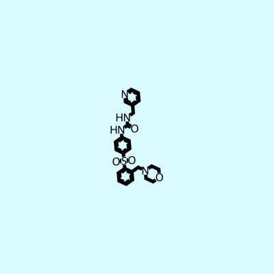 O=C(NCc1cccnc1)Nc1ccc(S(=O)(=O)c2ccccc2CN2CCOCC2)cc1